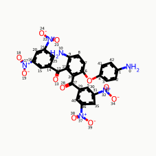 Nc1ccc(Oc2ccc(N)c(C(=O)c3cc([N+](=O)[O-])cc([N+](=O)[O-])c3)c2C(=O)c2cc([N+](=O)[O-])cc([N+](=O)[O-])c2)cc1